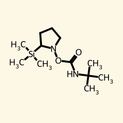 CC(C)(C)NC(=O)ON1CCCC1[Si](C)(C)C